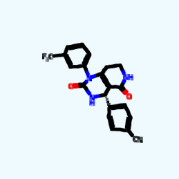 N#Cc1ccc([C@@H]2NC(=O)N(c3cccc(C(F)(F)F)c3)C3=C2C(=O)NCC3)cc1